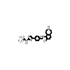 CC(Nc1nc(-c2ccc(CNc3c(Cl)ccc4c3CCNCC4)cc2)cs1)C(F)(F)F